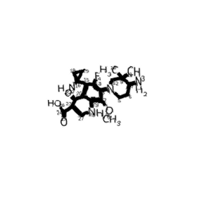 COc1c(N2CCC(N)C(C)(C)C2)c(F)c(C2(N)CC2)c2c(=O)c(C(=O)O)c[nH]c12